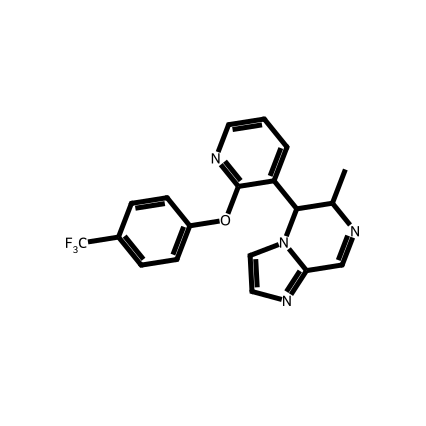 CC1N=Cc2nccn2C1c1cccnc1Oc1ccc(C(F)(F)F)cc1